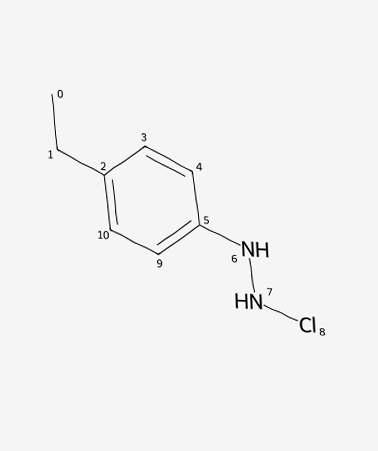 CCc1ccc(NNCl)cc1